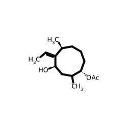 C/C=C1\[C@H](O)CC(C)[C@@H](OC(C)=O)CCC[C@@H]1C